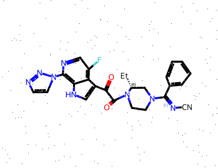 CC[C@@H]1CN(/C(=N/C#N)c2ccccc2)CCN1C(=O)C(=O)c1c[nH]c2c(-n3ccnn3)ncc(F)c12